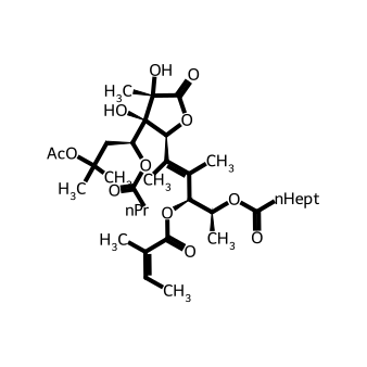 C/C=C(/C)C(=O)O[C@@H](/C(C)=C(\C)[C@@H]1OC(=O)[C@@](C)(O)[C@@]1(O)[C@H](CC(C)(C)OC(C)=O)OC(=O)CCC)[C@H](C)OC(=O)CCCCCCC